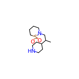 CC(CN1CCCCS1(=O)=O)C1CCNCC1